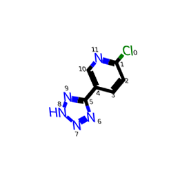 Clc1ccc(-c2nn[nH]n2)cn1